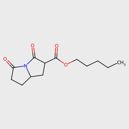 CCCCCOC(=O)C1CC2CCC(=O)N2C1=O